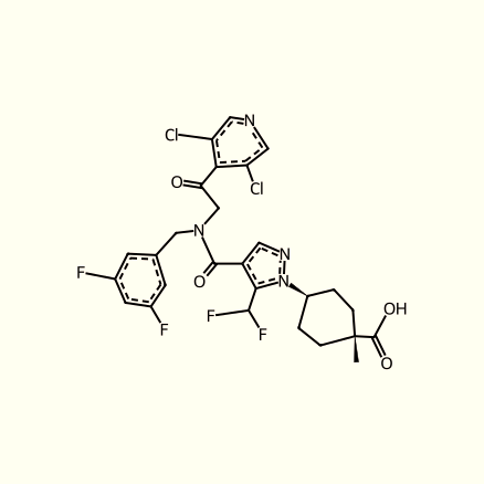 C[C@]1(C(=O)O)CC[C@H](n2ncc(C(=O)N(CC(=O)c3c(Cl)cncc3Cl)Cc3cc(F)cc(F)c3)c2C(F)F)CC1